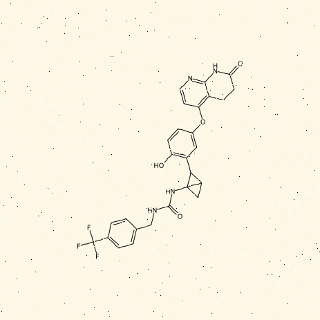 O=C1CCc2c(Oc3ccc(O)c(C4C5CC54NC(=O)NCc4ccc(C(F)(F)F)cc4)c3)ccnc2N1